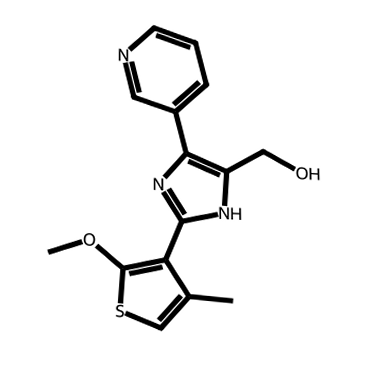 COc1scc(C)c1-c1nc(-c2cccnc2)c(CO)[nH]1